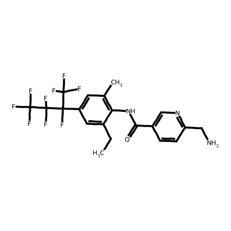 CCc1cc(C(F)(C(F)(F)F)C(F)(F)C(F)(F)F)cc(C)c1NC(=O)c1ccc(CN)nc1